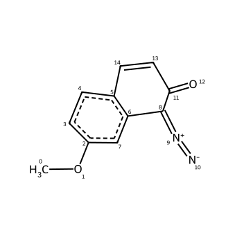 COc1ccc2c(c1)C(=[N+]=[N-])C(=O)C=C2